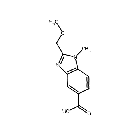 COCc1nc2cc(C(=O)O)ccc2n1C